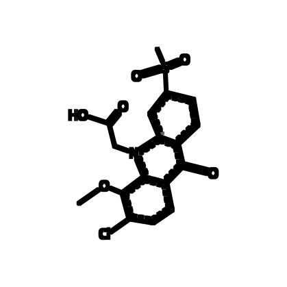 COc1c(Cl)ccc2c(=O)c3ccc(S(C)(=O)=O)cc3n(CC(=O)O)c12